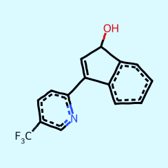 OC1C=C(c2ccc(C(F)(F)F)cn2)c2ccccc21